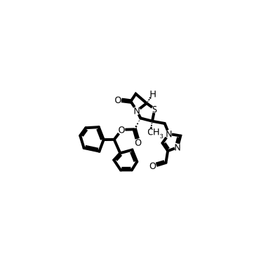 C[C@@]1(Cn2cnc(C=O)c2)S[C@@H]2CC(=O)N2[C@H]1C(=O)OC(c1ccccc1)c1ccccc1